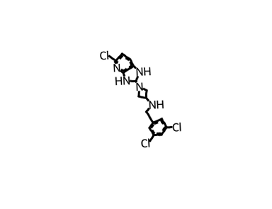 Clc1cc(Cl)cc(CNC2CN(C3Nc4ccc(Cl)nc4N3)C2)c1